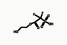 O=C(OCCO)C(F)(F)S(=O)(=O)O